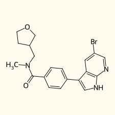 CN(CC1CCOC1)C(=O)c1ccc(-c2c[nH]c3ncc(Br)cc23)cc1